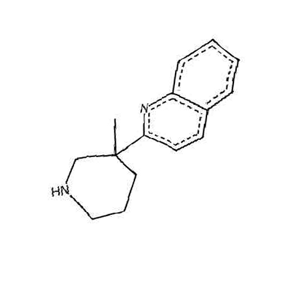 CC1(c2ccc3ccccc3n2)CCCNC1